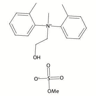 COS(=O)(=O)[O-].Cc1ccccc1[N+](C)(CCO)c1ccccc1C